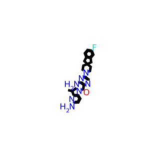 CC1CN(C(=O)c2ncc(N3CCC4(CC3)Cc3ccc(F)cc3C4)nc2N)c2ccc(N)nc21